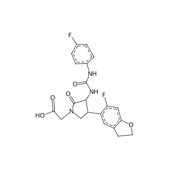 O=C(O)CN1CC(c2cc3c(cc2F)OCC3)C(NC(=O)Nc2ccc(F)cc2)C1=O